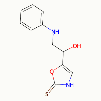 OC(CNc1ccccc1)c1c[nH]c(=S)o1